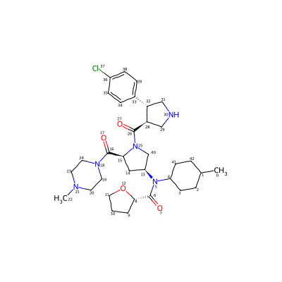 CC1CCC(N(C(=O)[C@@H]2CCCO2)[C@H]2C[C@@H](C(=O)N3CCN(C)CC3)N(C(=O)[C@@H]3CNC[C@H]3c3ccc(Cl)cc3)C2)CC1